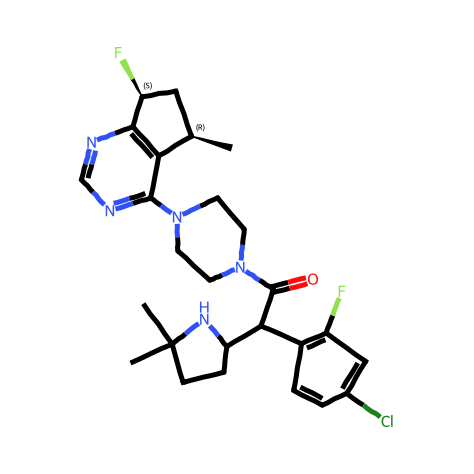 C[C@@H]1C[C@H](F)c2ncnc(N3CCN(C(=O)C(c4ccc(Cl)cc4F)C4CCC(C)(C)N4)CC3)c21